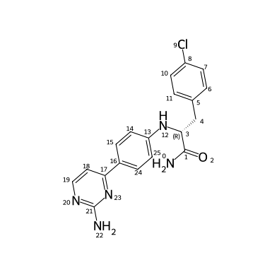 NC(=O)[C@@H](Cc1ccc(Cl)cc1)Nc1ccc(-c2ccnc(N)n2)cc1